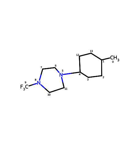 CC1CCC(N2CCN(C(F)(F)F)CC2)CC1